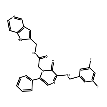 O=C(Cn1c(-c2ccccc2)cnc(NCc2cc(F)cc(F)c2)c1=O)NCc1cc2cnccc2[nH]1